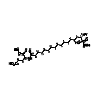 CCC[C@@H](CCCCCCCCCCCCCCC(=O)NC(CCC(=O)O)C(=O)OC(C)(C)C)P(=O)(O)OC